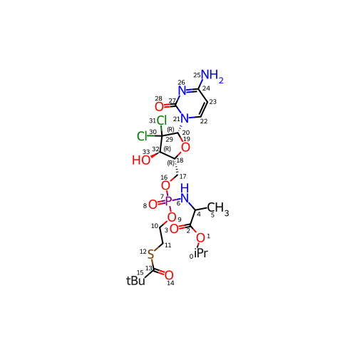 CC(C)OC(=O)C(C)NP(=O)(OCCSC(=O)C(C)(C)C)OC[C@H]1O[C@@H](n2ccc(N)nc2=O)C(Cl)(Cl)[C@@H]1O